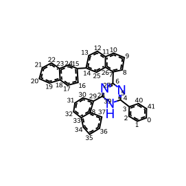 c1ccc(C2=NC(c3cccc4ccc(-c5ccc6ccccc6c5)cc34)=NC(c3cccc4ccccc34)N2)cc1